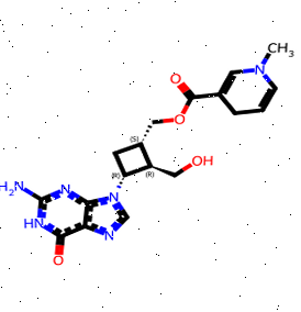 CN1C=CCC(C(=O)OC[C@H]2C[C@@H](n3cnc4c(=O)[nH]c(N)nc43)[C@@H]2CO)=C1